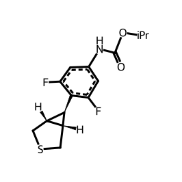 CC(C)OC(=O)Nc1cc(F)c([C@H]2[C@@H]3CSC[C@@H]32)c(F)c1